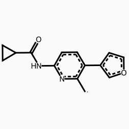 [CH2]c1nc(NC(=O)C2CC2)ccc1-c1ccoc1